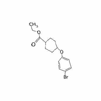 CCOC(=O)C1CCC(Oc2ccc(Br)cc2)CC1